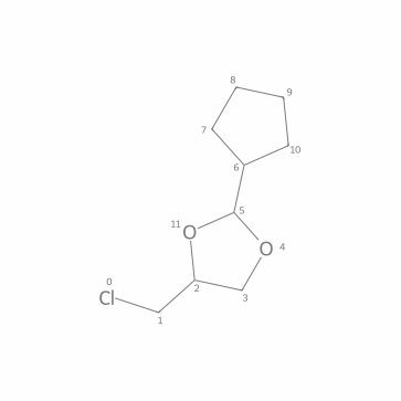 ClCC1COC(C2CCCC2)O1